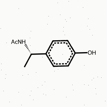 CC(=O)N[C@@H](C)c1ccc(O)cc1